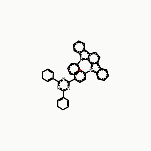 C1=CC(c2nc(C3=CCCC=C3)nc(-c3ccc(-n4c5ccccc5c5ccc6c7ccccc7n(-c7ccccc7)c6c54)cc3)n2)=CCC1